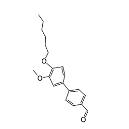 CCCCCCOc1ccc(-c2ccc(C=O)cc2)cc1OC